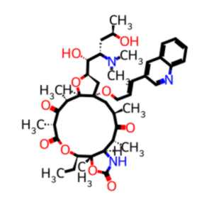 CC[C@H]1OC(=O)[C@H](C)C(=O)[C@H](C)[C@H]2O[C@@H]([C@H](O)[C@H](C[C@@H](C)O)N(C)C)C[C@@]2(OC/C=C/c2cnc3ccccc3c2)C[C@@H](C)C(=O)[C@H](C)[C@H]2NC(=O)O[C@@]21C